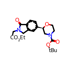 CCOC(=O)CN1Cc2cc([C@@H]3CN(C(=O)OC(C)(C)C)CCO3)ccc2C1=O